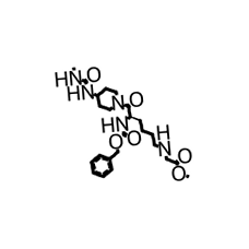 CNC(=O)NC1CCN(C(=O)[C@@H](CCCCNCC(=O)OC)NC(=O)OCc2ccccc2)CC1